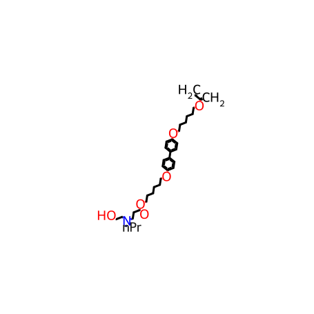 C=CC(=C)OCCCCCCOc1ccc(-c2ccc(OCCCCCCOC(=O)CCN(CCC)CCO)cc2)cc1